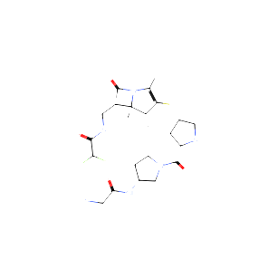 C[C@@H](NC(=O)C(F)F)[C@H]1C(=O)N2C(C(=O)O)=C(S[C@@H]3CN[C@H](C(=O)N4CC[C@H](NC(=O)CN)C4)C3)[C@H](C)[C@H]12